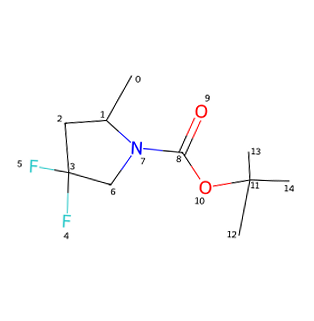 CC1CC(F)(F)CN1C(=O)OC(C)(C)C